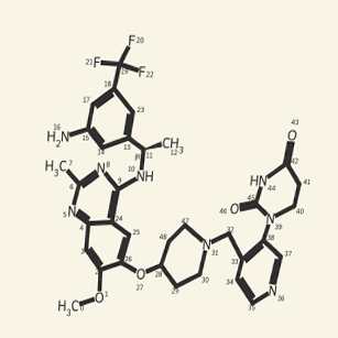 COc1cc2nc(C)nc(N[C@H](C)c3cc(N)cc(C(F)(F)F)c3)c2cc1OC1CCN(Cc2ccncc2N2CCC(=O)NC2=O)CC1